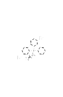 [N-]=[N+]=NC1(c2ccccc2)c2cc(Br)ccc2-c2ccc(Br)cc21